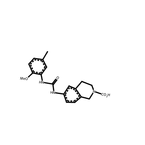 COc1ccc(C)cc1NC(=O)Nc1ccc2c(c1)CCN(C(=O)O)C2